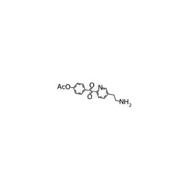 CC(=O)Oc1ccc(S(=O)(=O)c2ccc(CCN)cn2)cc1